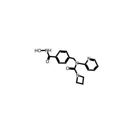 O=C(NO)c1ccc(CN(C(=O)N2CCC2)c2ccccn2)cc1